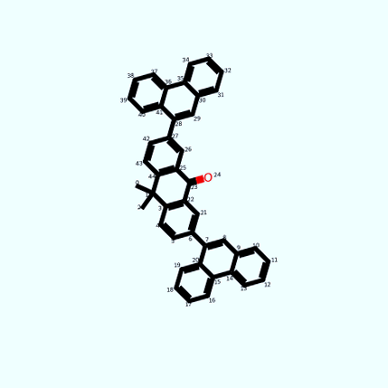 CC1(C)c2ccc(-c3cc4ccccc4c4ccccc34)cc2C(=O)c2cc(-c3cc4ccccc4c4ccccc34)ccc21